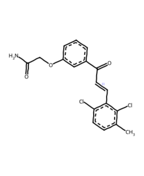 Cc1ccc(Cl)c(/C=C/C(=O)c2cccc(OCC(N)=O)c2)c1Cl